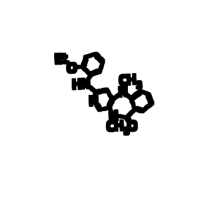 CCOc1ccccc1Nc1cc2c(cn1)N(C)C(=O)c1ccccc1N2C